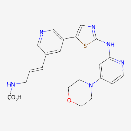 O=C(O)NCC=Cc1cncc(-c2cnc(Nc3cc(N4CCOCC4)ccn3)s2)c1